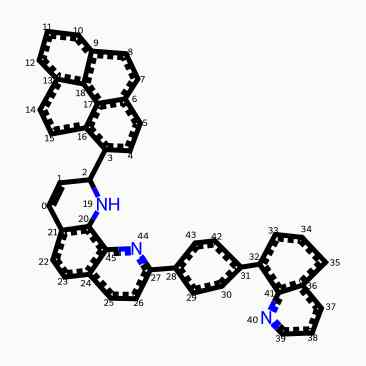 C1=CC(c2ccc3ccc4cccc5ccc2c3c45)Nc2c1ccc1ccc(-c3ccc(-c4cccc5cccnc45)cc3)nc21